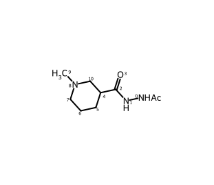 CC(=O)NNC(=O)C1CCCN(C)C1